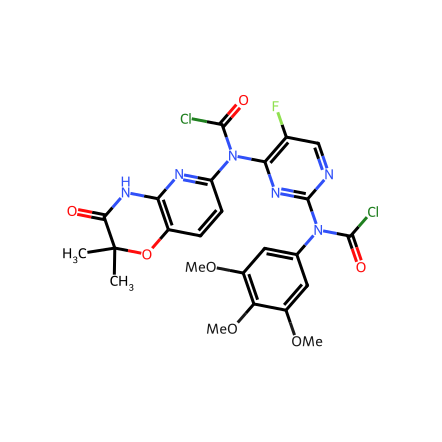 COc1cc(N(C(=O)Cl)c2ncc(F)c(N(C(=O)Cl)c3ccc4c(n3)NC(=O)C(C)(C)O4)n2)cc(OC)c1OC